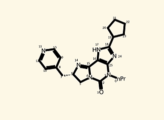 CCCN1C(=O)N2C[C@H](Cc3ccncc3)N=C2c2[nH]c(C3CCCC3)nc21